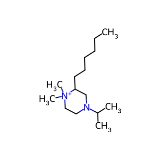 CCCCCCC1CN(C(C)C)CC[N+]1(C)C